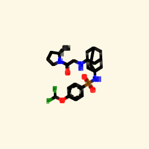 N#C[C@@H]1CCCN1C(=O)CNC12CC3CC(C1)CC(NS(=O)(=O)c1ccc(OC(F)F)cc1)(C3)C2